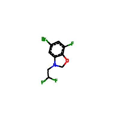 Fc1cc(Br)cc2c1OCN2CC(F)F